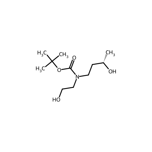 C[C@H](O)CCN(CCO)C(=O)OC(C)(C)C